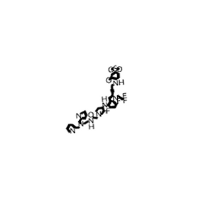 COc1cc(S(C)(=O)=O)ccc1NCC#Cc1cc2c(N[C@H]3CCN(CC(=O)NCCN(Cc4ccccn4)Cc4ccccn4)C[C@H]3F)cccc2n1CC(F)(F)F